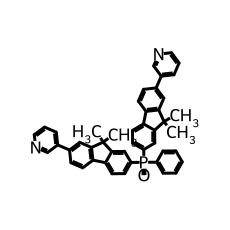 CC1(C)c2cc(-c3cccnc3)ccc2-c2ccc(P(=O)(c3ccccc3)c3ccc4c(c3)C(C)(C)c3cc(-c5cccnc5)ccc3-4)cc21